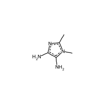 Cc1nc(N)c(N)n1C